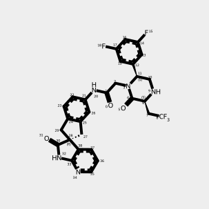 O=C(CN1C(=O)[C@H](CC(F)(F)F)NC[C@@H]1c1cc(F)cc(F)c1)Nc1ccc2c(c1)C[C@@]1(C2)C(=O)Nc2ncccc21